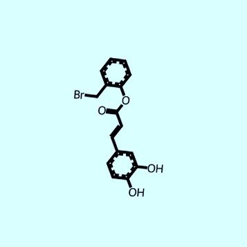 O=C(C=Cc1ccc(O)c(O)c1)Oc1ccccc1CBr